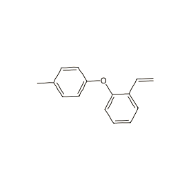 C=Cc1ccccc1Oc1ccc(C)cc1